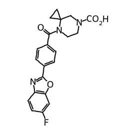 O=C(O)N1CCN(C(=O)c2ccc(-c3nc4ccc(F)cc4o3)cc2)C2(CC2)C1